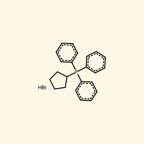 Br.c1ccc([P](c2ccccc2)(c2ccccc2)C2CCCC2)cc1